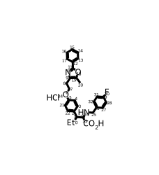 CCC(c1ccc(OCCc2nc(-c3ccccc3)oc2C)cc1)C(NCc1ccc(F)cc1)C(=O)O.Cl